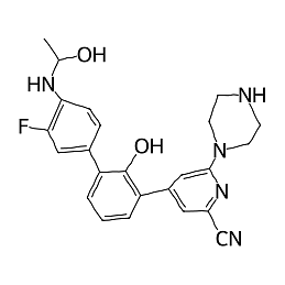 CC(O)Nc1ccc(-c2cccc(-c3cc(C#N)nc(N4CCNCC4)c3)c2O)cc1F